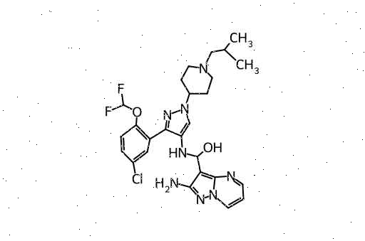 CC(C)CN1CCC(n2cc(NC(O)c3c(N)nn4cccnc34)c(-c3cc(Cl)ccc3OC(F)F)n2)CC1